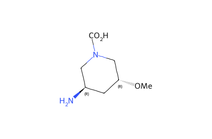 CO[C@@H]1C[C@@H](N)CN(C(=O)O)C1